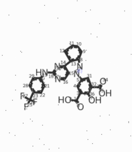 O=C(O)c1cc(/N=N/c2ccccc2-c2ccnc(Nc3ccc(C(F)(F)F)cc3)n2)cc(C(=O)O)c1O